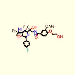 CC[C@]1(N)COc2c1cc([C@@](O)(CNC(=O)c1ccc(OCCO)c(OC)c1)C(F)(F)F)nc2-c1ccc(F)cc1